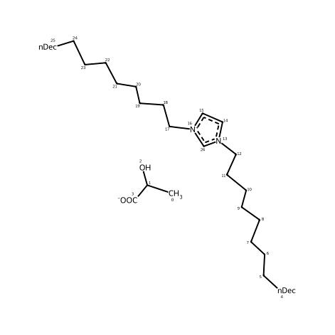 CC(O)C(=O)[O-].CCCCCCCCCCCCCCCCCCn1cc[n+](CCCCCCCCCCCCCCCCCC)c1